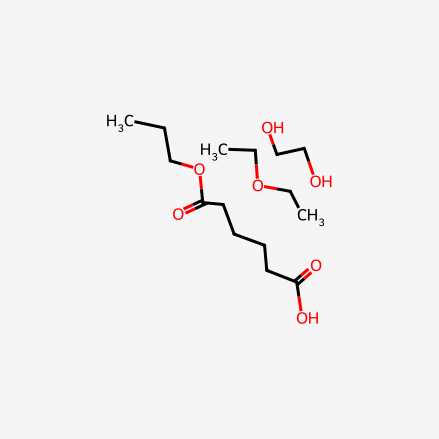 CCCOC(=O)CCCCC(=O)O.CCOCC.OCCO